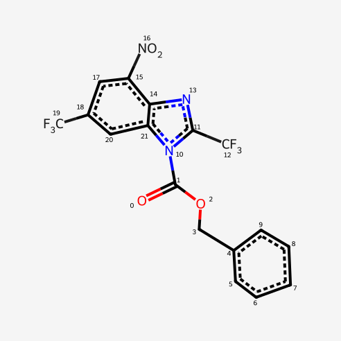 O=C(OCc1ccccc1)n1c(C(F)(F)F)nc2c([N+](=O)[O-])cc(C(F)(F)F)cc21